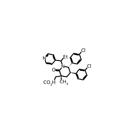 CCC(c1ccncc1)N1C(=O)[C@@](C)(CC(=O)O)C[C@H](c2cccc(Cl)c2)[C@H]1c1ccc(Cl)cc1